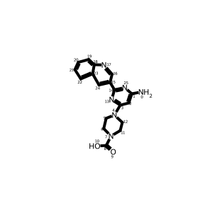 Nc1cc(N2CCN(C(=O)O)CC2)nc(-c2cnc3ccccc3c2)n1